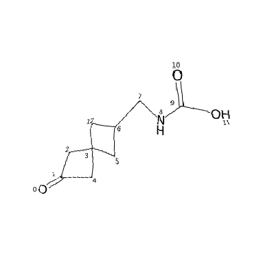 O=C1CC2(C1)CC(CNC(=O)O)C2